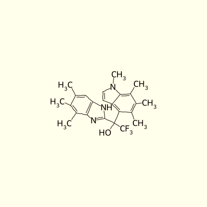 Cc1cc2[nH]c(C(O)(c3c(C)c(C)c(C)c4c3ccn4C)C(F)(F)F)nc2c(C)c1C